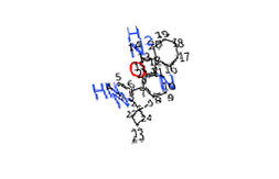 CC1(c2n[nH]cc2-c2ccnc(C3(C(N)=O)CCCCC3)c2)CCC1